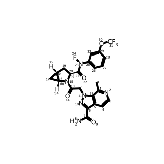 Cc1nccc2c(C(N)=O)nn(CC(=O)N3[C@@H]4C[C@@H]4C[C@H]3C(=O)N(F)c3cccc(OC(F)(F)F)c3)c12